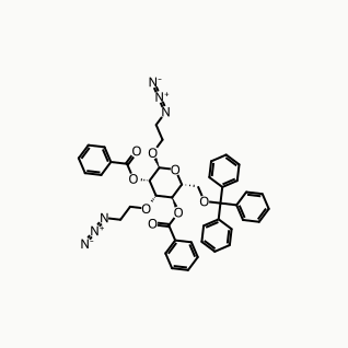 [N-]=[N+]=NCCO[C@H]1O[C@H](COC(c2ccccc2)(c2ccccc2)c2ccccc2)[C@@H](OC(=O)c2ccccc2)[C@H](OCCN=[N+]=[N-])[C@@H]1OC(=O)c1ccccc1